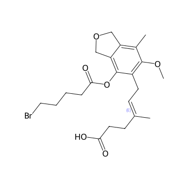 COc1c(C)c2c(c(OC(=O)CCCCBr)c1C/C=C(\C)CCC(=O)O)COC2